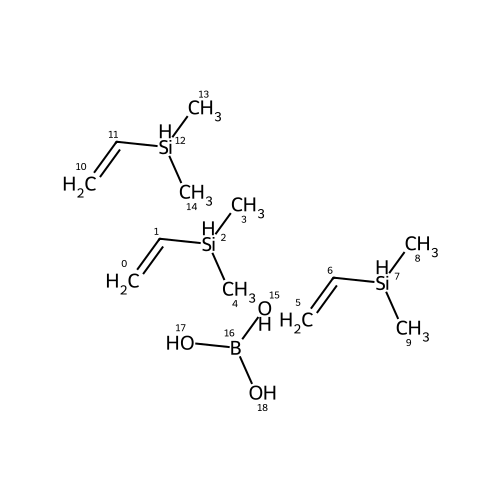 C=C[SiH](C)C.C=C[SiH](C)C.C=C[SiH](C)C.OB(O)O